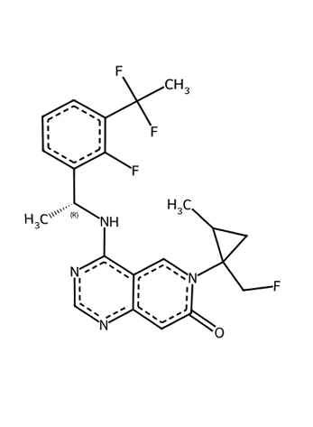 CC1CC1(CF)n1cc2c(N[C@H](C)c3cccc(C(C)(F)F)c3F)ncnc2cc1=O